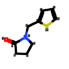 O=C1CCCN1Cc1cccs1